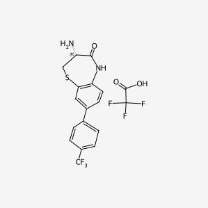 N[C@H]1CSc2cc(-c3ccc(C(F)(F)F)cc3)ccc2NC1=O.O=C(O)C(F)(F)F